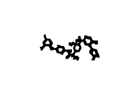 C[C@@H](C(=O)Nc1cnc(Oc2ccc(F)cc2F)cn1)N1CCN(C(=O)c2cn(-c3cn[nH]c3)c(=O)cn2)C(C)(C)C1